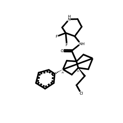 O=C(NC1CCNCC1(F)F)C12CC3C[C@]1(CCCl)C[C@@]3(c1ccccc1)C2